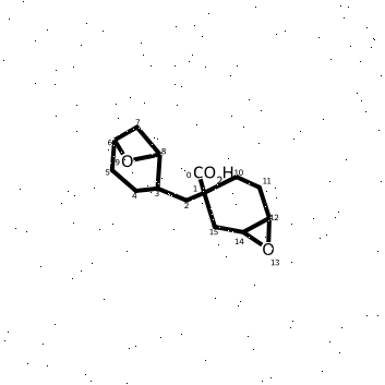 O=C(O)C1(CC2CCC3CC2O3)CCC2OC2C1